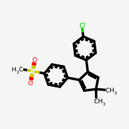 CC1(C)C=C(c2ccc(Cl)cc2)C(c2ccc(S(C)(=O)=O)cc2)=C1